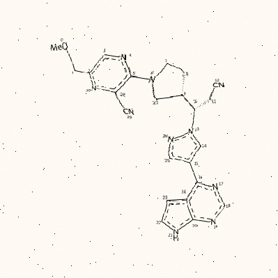 COCc1cnc(N2CC[C@H]([C@H](CC#N)n3cc(-c4ncnc5[nH]ccc45)cn3)C2)c(C#N)n1